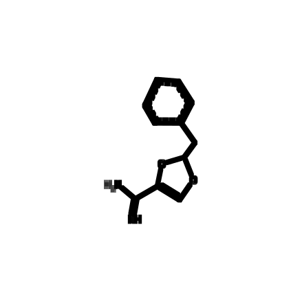 N=C(N)C1=COC(Cc2ccccc2)O1